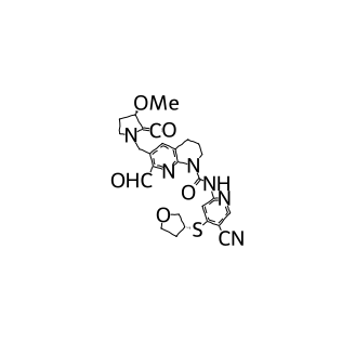 CO[C@@H]1CCN(Cc2cc3c(nc2C=O)N(C(=O)Nc2cc(S[C@@H]4CCOC4)c(C#N)cn2)CCC3)C1=C=O